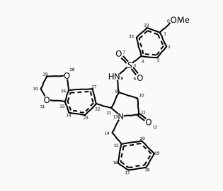 COc1ccc(S(=O)(=O)NC2CC(=O)N(Cc3ccccc3)C2c2ccc3c(c2)OCCO3)cc1